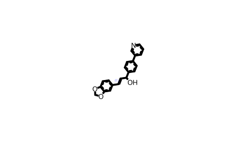 OC(/C=C/c1ccc2c(c1)OCO2)c1ccc(-c2cccnc2)cc1